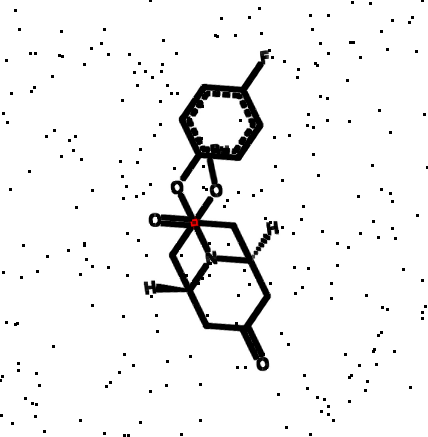 CC(C)(C)OC(=O)N1[C@@H]2CC(=O)C[C@@H]1CC(Oc1ccc(F)cc1)C2